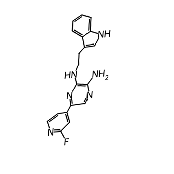 Nc1ncc(-c2ccnc(F)c2)nc1NCCc1c[nH]c2ccccc12